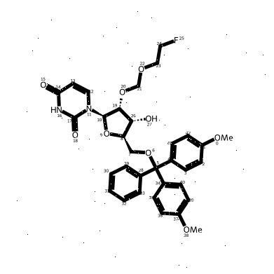 COc1ccc(C(OC[C@H]2O[C@@H](n3ccc(=O)[nH]c3=O)[C@H](OCOCCF)[C@@H]2O)(c2ccccc2)c2ccc(OC)cc2)cc1